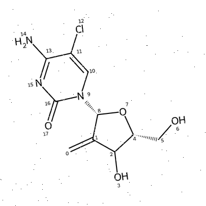 C=C1C(O)[C@@H](CO)O[C@H]1n1cc(Cl)c(N)nc1=O